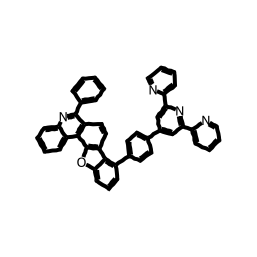 c1ccc(-c2nc3ccccc3c3c2ccc2c3oc3cccc(-c4ccc(-c5cc(-c6ccccn6)nc(-c6ccccn6)c5)cc4)c32)cc1